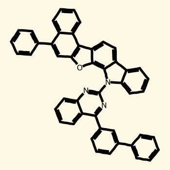 c1ccc(-c2cccc(-c3nc(-n4c5ccccc5c5ccc6c(oc7cc(-c8ccccc8)c8ccccc8c76)c54)nc4ccccc34)c2)cc1